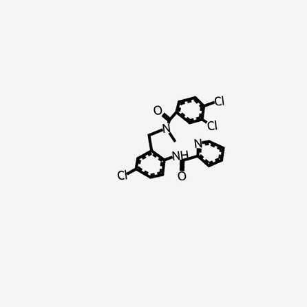 CN(Cc1cc(Cl)ccc1NC(=O)c1ccccn1)C(=O)c1ccc(Cl)c(Cl)c1